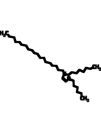 CCCCCCCCCCCCCCCCCCCN1C=CN(CCCCCC)C1CCCCCCC